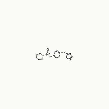 [O-][N+](=Cc1ccc(Cn2ccnc2)cc1)c1ccccc1